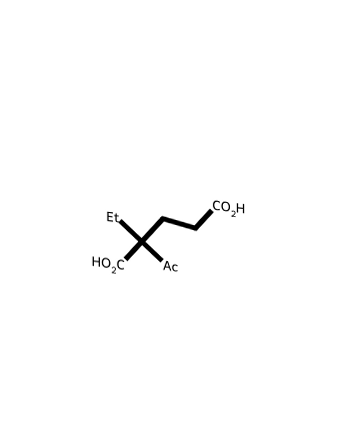 CCC(CCC(=O)O)(C(C)=O)C(=O)O